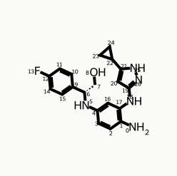 Nc1ccc(N[C@@H](CO)c2ccc(F)cc2)cc1Nc1cc(C2CC2)[nH]n1